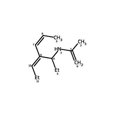 C=C(C)NC(CC)C(/C=C\C)=C\CC